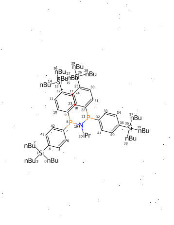 CCCC[Si](CCCC)(CCCC)c1ccc(P(c2ccc([Si](CCCC)(CCCC)CCCC)cc2)N(C(C)C)P(c2ccc([Si](CCCC)(CCCC)CCCC)cc2)c2ccc([Si](CCCC)(CCCC)CCCC)cc2)cc1